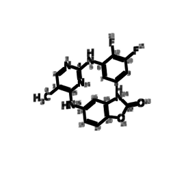 Cc1cnc(Nc2cccc(F)c2F)nc1Nc1ccc2oc(=O)[nH]c2c1